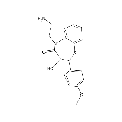 COc1ccc(C2Sc3ccccc3N(CCN)C(=O)C2O)cc1